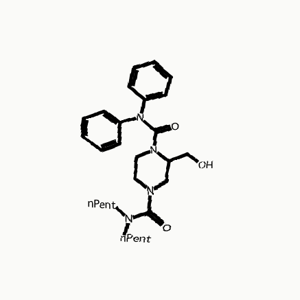 CCCCCN(CCCCC)C(=O)N1CCN(C(=O)N(c2ccccc2)c2ccccc2)C(CO)C1